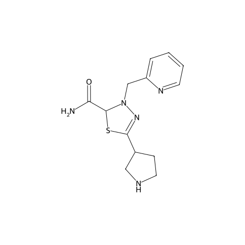 NC(=O)C1SC(C2CCNC2)=NN1Cc1ccccn1